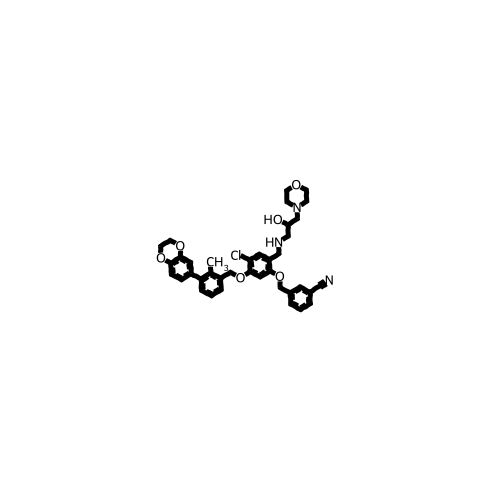 Cc1c(COc2cc(OCc3cccc(C#N)c3)c(CNCC(O)CN3CCOCC3)cc2Cl)cccc1-c1ccc2c(c1)OCCO2